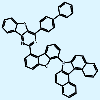 c1ccc(-c2ccc(-c3nc(-c4cccc5oc6c(-n7c8ccc9ccccc9c8c8c9ccccc9ccc87)cccc6c45)nc4c3sc3ccccc34)cc2)cc1